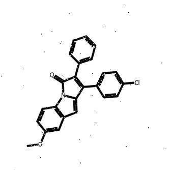 COc1ccc2c(c1)cc1n2C(=O)C(c2ccccc2)=C1c1ccc(Cl)cc1